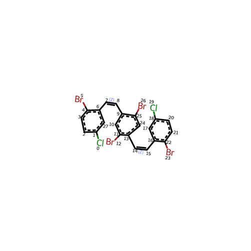 Clc1ccc(Br)c(/C=C\c2cc(Br)c(/C=C\c3cc(Cl)ccc3Br)cc2Br)c1